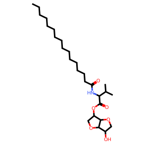 CCCCCCCCCCCCCCCC(=O)NC(C(=O)OC1COC2C(O)COC12)C(C)C